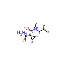 CC(C)CN(C)C(=O)C1(C(N)=O)CC1